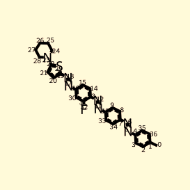 Cc1ccc(N=Nc2ccc(N=Nc3ccc(N=Nc4ccc(N5CCCCC5)s4)cc3F)cc2)cc1